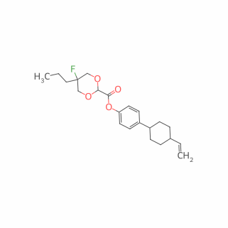 C=CC1CCC(c2ccc(OC(=O)C3OCC(F)(CCC)CO3)cc2)CC1